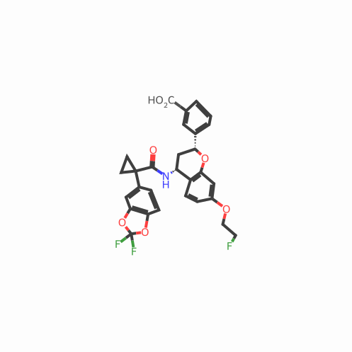 O=C(O)c1cccc([C@H]2C[C@@H](NC(=O)C3(c4ccc5c(c4)OC(F)(F)O5)CC3)c3ccc(OCCF)cc3O2)c1